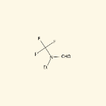 CCN(C=O)C(F)(F)F